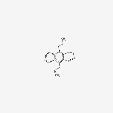 C=CCc1c2c(c(CC=C)c3ccccc13)CCC=C2